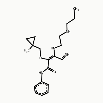 CCCNCCN/C(C=N)=C(\OCC1(C)CC1)C(=O)Nc1ccccc1